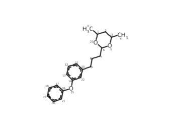 CC1CC(C)OC(CCCc2cccc(Oc3ccccc3)c2)O1